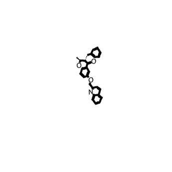 C[C@@H]1Oc2ccc(OCc3ccc4ccccc4n3)cc2C(=O)[C@H]1Cc1ccccc1